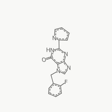 O=c1[nH]c(-c2ccccn2)nc2ncn(Cc3ccccc3F)c12